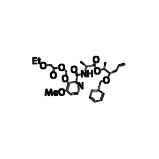 C=CC[C@@H](OCc1ccccc1)[C@H](C)OC(=O)[C@H](C)NC(=O)c1nccc(OC)c1OCOC(=O)COCC